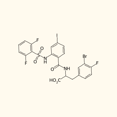 O=C(NC(Cc1ccc(F)c(Br)c1)C(=O)O)c1ccc(I)cc1NS(=O)(=O)c1c(F)cccc1F